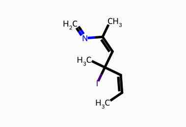 C=N/C(C)=C\C(C)(I)/C=C\C